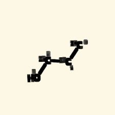 [13CH3][13CH2][13CH2]O